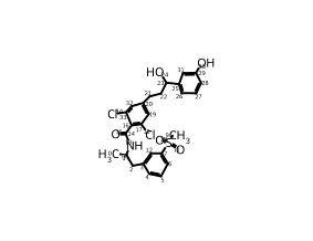 C[C@H](Cc1cccc(S(C)(=O)=O)c1)NC(=O)c1c(Cl)cc(CCC(O)c2cccc(O)c2)cc1Cl